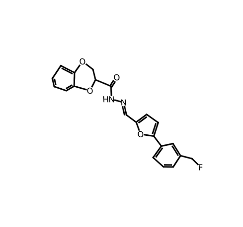 O=C(N/N=C/c1ccc(-c2cccc(CF)c2)o1)C1COc2ccccc2O1